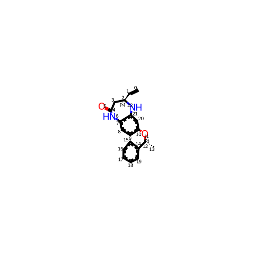 C=C[C@@H]1CC(=O)Nc2ccc(O[C@H](C)c3ccccc3)cc2N1